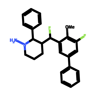 COc1c(F)cc(-c2ccccc2)cc1C(F)C1CCCN(N)C1c1ccccc1